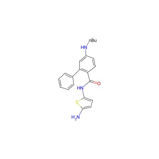 CCCCNc1ccc(C(=O)Nc2ccc(N)s2)c(-c2ccccc2)c1